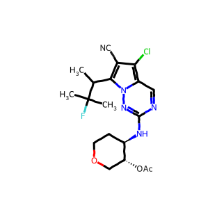 CC(=O)O[C@@H]1COCC[C@H]1Nc1ncc2c(Cl)c(C#N)c(C(C)C(C)(C)F)n2n1